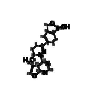 CC1CCC(c2ccc3c(c2)COB3O)=NN1c1ncnc2occc12